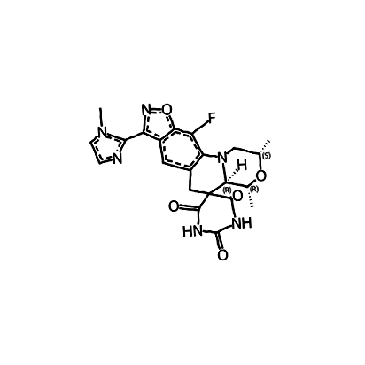 C[C@H]1CN2c3c(cc4c(-c5nccn5C)noc4c3F)CC3(C(=O)NC(=O)NC3=O)[C@@H]2[C@@H](C)O1